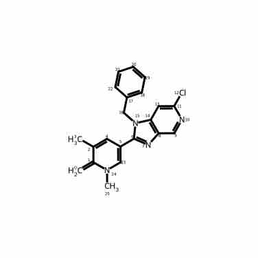 C=C1C(C)=CC(c2nc3cnc(Cl)cc3n2Cc2ccccc2)=CN1C